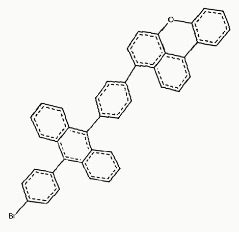 Brc1ccc(-c2c3ccccc3c(-c3ccc(-c4ccc5c6c(cccc46)-c4ccccc4O5)cc3)c3ccccc23)cc1